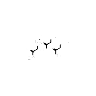 CC(C)(C)[O-].CCCC(=O)CC(=O)[O-].CCCC(=O)CC(=O)[O-].CCCC(=O)CC(=O)[O-].[Zr+4]